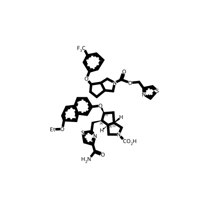 CCOc1ccc2ccc(O[C@H]3C[C@@H]4CN(C(=O)O)C[C@H]4[C@H]3Cc3nc(C(N)=O)cs3)cc2c1.O=C(OCc1cscn1)N1CC2CCC(Oc3cccc(C(F)(F)F)c3)C2C1